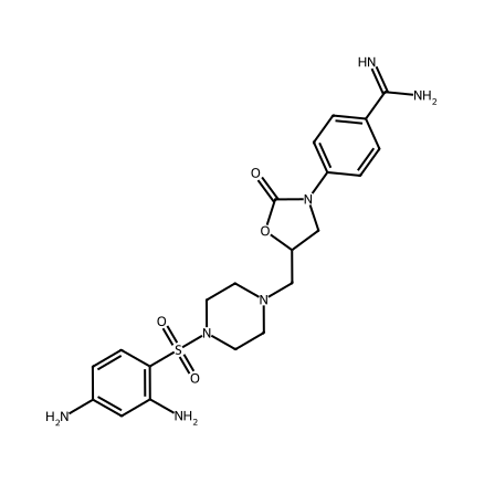 N=C(N)c1ccc(N2CC(CN3CCN(S(=O)(=O)c4ccc(N)cc4N)CC3)OC2=O)cc1